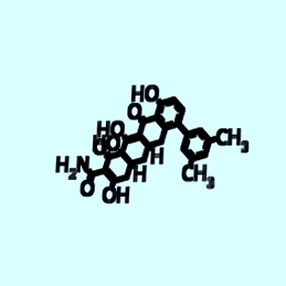 Cc1cc(C)cc(-c2ccc(O)c3c2C[C@H]2C[C@H]4CC(O)=C(C(N)=O)C(=O)[C@@]4(O)C(O)=C2C3=O)c1